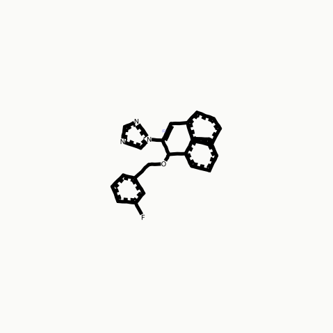 Fc1cccc(COC(/C(=C\c2ccccc2)n2cncn2)c2ccccc2)c1